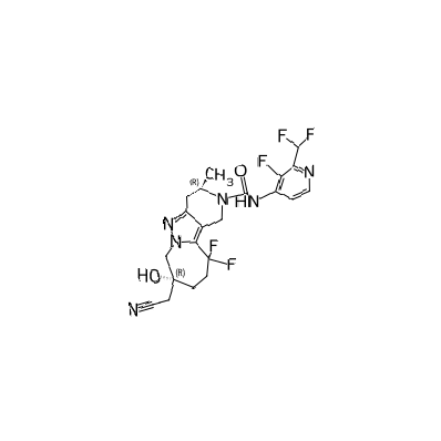 C[C@@H]1Cc2nn3c(c2CN1C(=O)Nc1ccnc(C(F)F)c1F)C(F)(F)CC[C@@](O)(CC#N)C3